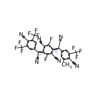 Cc1cc(/C(C#N)=c2/c(F)c(C#N)/c(=C(/C#N)c3cc(C(F)(F)F)c(C#N)c(C(F)(F)F)c3)c(F)c2C#N)cc(C(F)(F)F)c1C#N